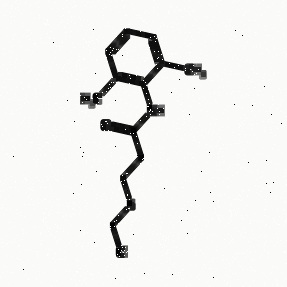 Cc1cccc(C)c1NC(=O)CCSCCl